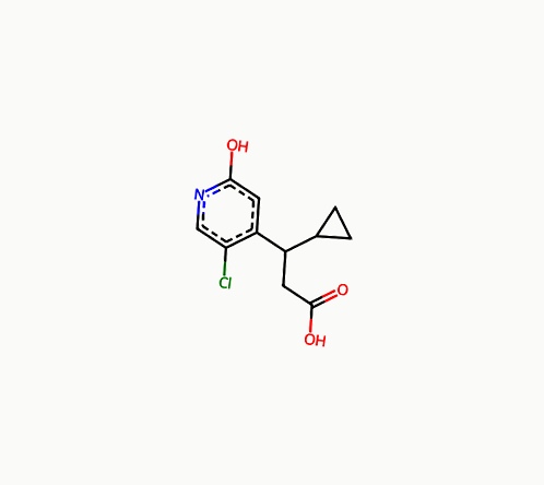 O=C(O)CC(c1cc(O)ncc1Cl)C1CC1